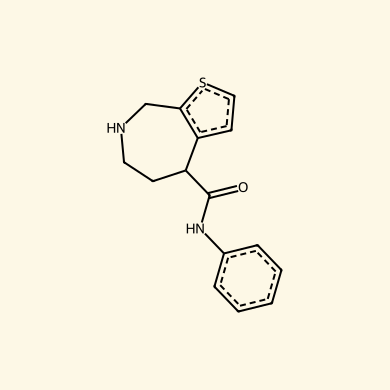 O=C(Nc1ccccc1)C1CCNCc2sccc21